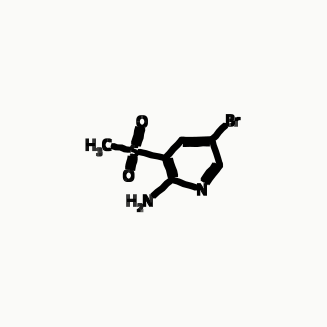 CS(=O)(=O)c1cc(Br)cnc1N